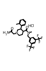 Cc1ccccc1C1CN(CC(N)=O)CCC1C(=O)N(C)Cc1cc(C(F)(F)F)cc(C(F)(F)F)c1.Cl